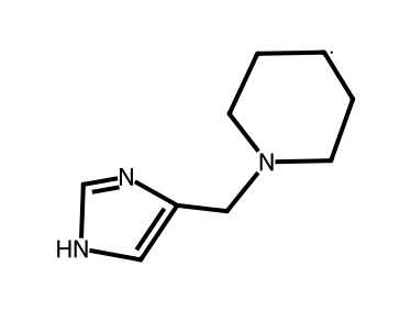 [CH]1CCN(Cc2c[nH]cn2)CC1